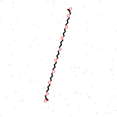 C(CCOCCCCOCCCCOCCCCOCC1CO1)COCCCCOCCCCOCCCCOCC1CO1